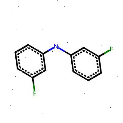 Fc1cccc([N]c2cccc(F)c2)c1